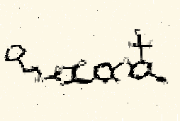 N#Cc1ccc(Oc2ccc(C=C3SC(NCCC4CCOCC4)=NC3=O)cc2F)c(C(F)(F)F)c1